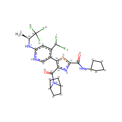 C[C@H](Nc1cc(C(F)F)c(-c2sc(C(=O)NC3CCCC3)nc2C(=O)N2C3CCC2CC3)cn1)C(F)(F)F